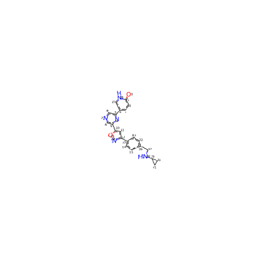 O=c1ccc(-c2cncc(-c3cc(-c4ccc(CNC5CC5)cc4)no3)n2)c[nH]1